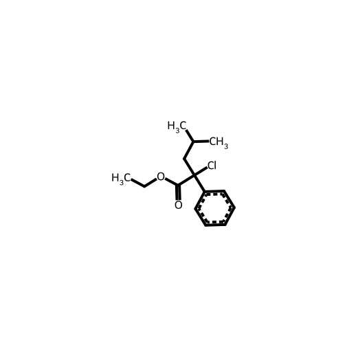 CCOC(=O)C(Cl)(CC(C)C)c1ccccc1